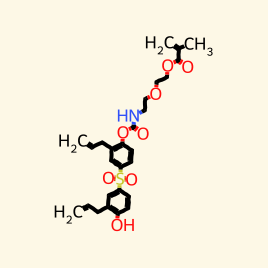 C=CCc1cc(S(=O)(=O)c2ccc(OC(=O)NCCOCCOC(=O)C(=C)C)c(CC=C)c2)ccc1O